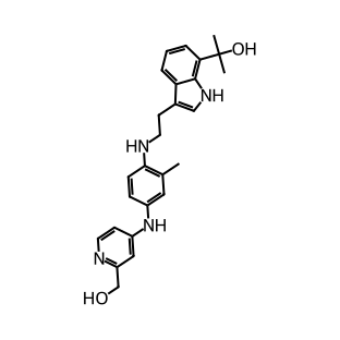 Cc1cc(Nc2ccnc(CO)c2)ccc1NCCc1c[nH]c2c(C(C)(C)O)cccc12